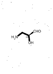 NC[C@H](O)[C]=O